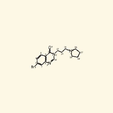 O=c1c2ccc(Br)cc2ncn1CCCN1CCCC1